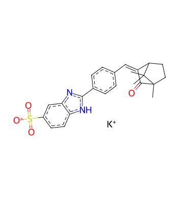 CC12CCC(C(=Cc3ccc(-c4nc5cc(S(=O)(=O)[O-])ccc5[nH]4)cc3)C1=O)C2(C)C.[K+]